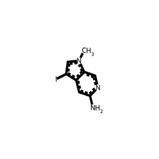 Cn1cc(I)c2cc(N)ncc21